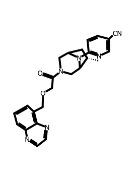 C[C@H]1CC2CN(C(=O)COCc3cccc4nccnc34)CC1N2c1ccc(C#N)cn1